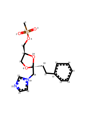 CS(=O)(=O)OC[C@@H]1CO[C@](CCc2ccccc2)(Cn2ccnc2)O1